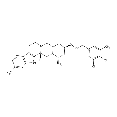 Cc1ccc2c3c([nH]c2c1)[C@H]1CC2C(C[C@@H](OOCc4cc(C)c(C)c(C)c4)C[C@H]2C)CN1CC3